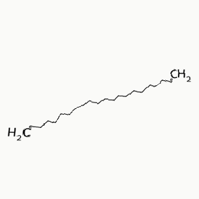 C=CCCCCCCCCCCCCCCCCCCC=C